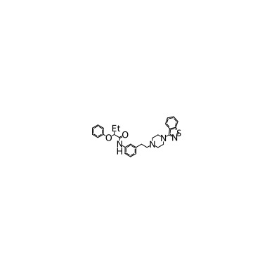 CCC(Oc1ccccc1)C(=O)Nc1cccc(CCN2CCN(c3nsc4ccccc34)CC2)c1